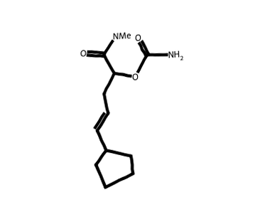 CNC(=O)C(CC=CC1CCCC1)OC(N)=O